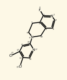 Fc1nccc2c1CCN(c1cc(Cl)c(Cl)cn1)C2